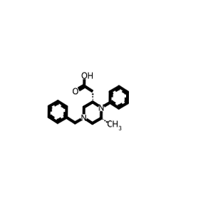 C[C@@H]1CN(Cc2ccccc2)C[C@H](CC(=O)O)N1c1ccccc1